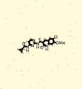 COc1cc2[nH]c(=O)c([C@H](C)Nc3nccc(NC(=O)C4CC4)n3)cc2cc1Cl